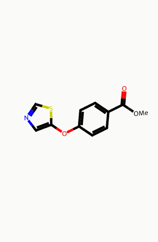 COC(=O)c1ccc(Oc2cn[c]s2)cc1